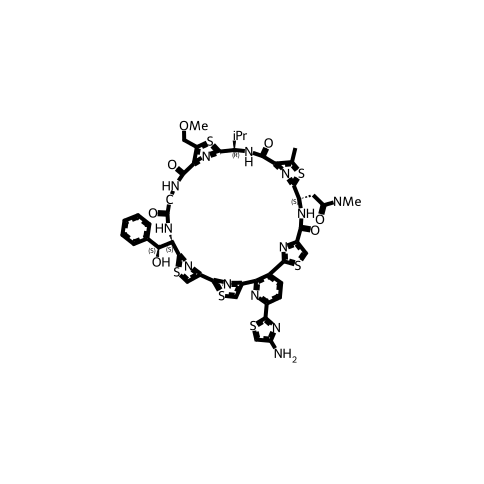 CNC(=O)C[C@@H]1NC(=O)c2csc(n2)-c2ccc(-c3nc(N)cs3)nc2-c2csc(n2)-c2csc(n2)[C@H]([C@@H](O)c2ccccc2)NC(=O)CNC(=O)c2nc(sc2COC)[C@@H](C(C)C)NC(=O)c2nc1sc2C